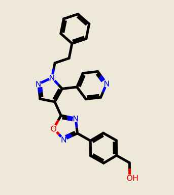 OCc1ccc(-c2noc(-c3cnn(CCc4ccccc4)c3-c3ccncc3)n2)cc1